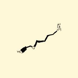 C#COCCCCC